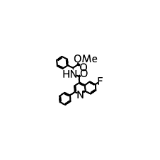 COC(=O)[C@H](NC(=O)c1cc(-c2ccccc2)nc2ccc(F)cc12)c1ccccc1